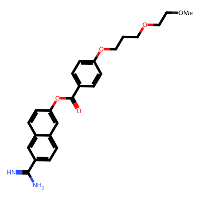 COCCOCCCOc1ccc(C(=O)Oc2ccc3cc(C(=N)N)ccc3c2)cc1